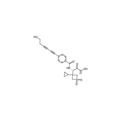 O=C(N[C@H](C(=O)NO)C1(C2CC2)CS(=O)(=O)C1)c1ccc(C#CC#CCCO)cc1